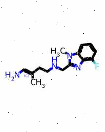 C/C(=C\N)CCNCc1nc2c(F)cccc2n1C